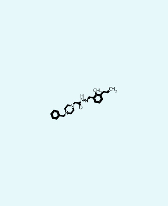 C=CCc1cccc(/C=N/NC(=O)CN2CCN(Cc3ccccc3)CC2)c1C